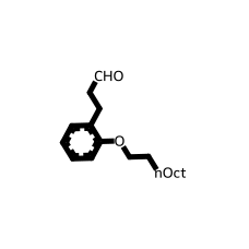 CCCCCCCCCCOc1ccccc1CCC=O